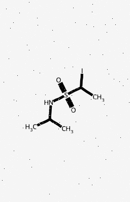 CC(C)NS(=O)(=O)C(C)I